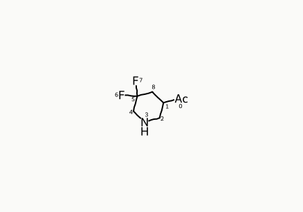 CC(=O)C1CNCC(F)(F)C1